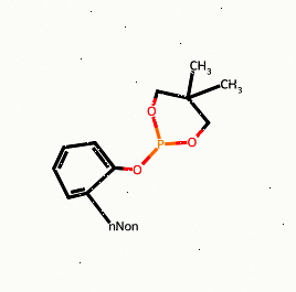 CCCCCCCCCc1ccccc1OP1OCC(C)(C)CO1